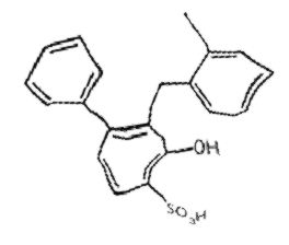 Cc1ccccc1Cc1c(-c2ccccc2)ccc(S(=O)(=O)O)c1O